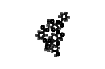 COC1CCC2C(C1)OC1C(C=O)C(OC3C[C@@H](OC(=O)c4ccccc4)[C@@H](O)[C@@H](COC(=O)c4ccccc4)O3)CCC1C21OC(=O)C2CCCCC21